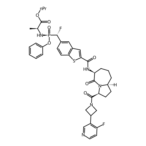 CCCOC(=O)[C@H](C)N[P@](=O)(Oc1ccccc1)[C@H](F)c1ccc2sc(C(=O)N[C@H]3CCC[C@H]4CC[C@@H](C(=O)N5CC(c6cnccc6F)C5)N4C3=O)cc2c1